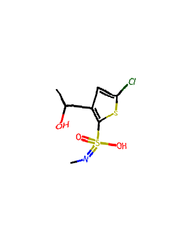 CN=S(=O)(O)c1sc(Cl)cc1C(C)O